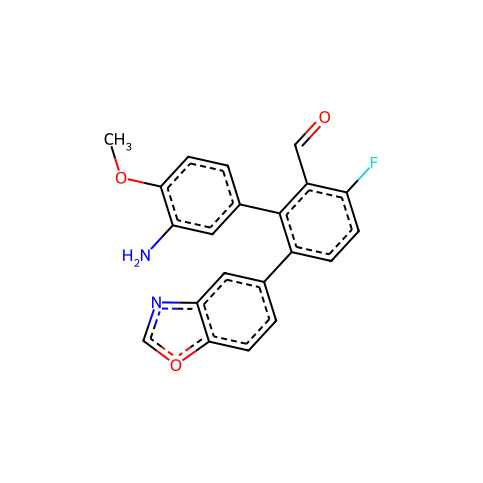 COc1ccc(-c2c(-c3ccc4ocnc4c3)ccc(F)c2C=O)cc1N